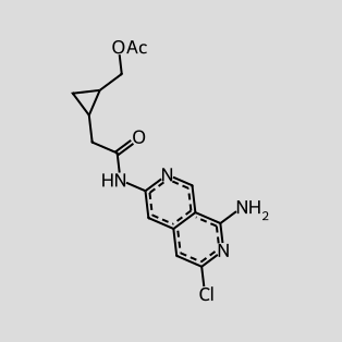 CC(=O)OCC1CC1CC(=O)Nc1cc2cc(Cl)nc(N)c2cn1